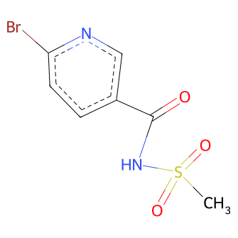 CS(=O)(=O)NC(=O)c1ccc(Br)nc1